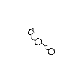 c1ccc(CNC2CCN(Cc3cc[nH]n3)CC2)cc1